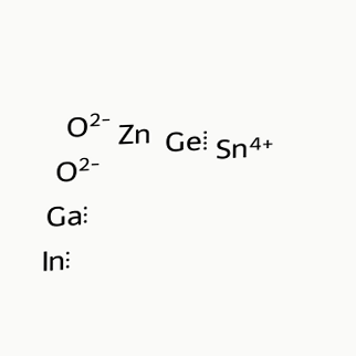 [Ga].[Ge].[In].[O-2].[O-2].[Sn+4].[Zn]